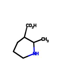 CC1NCCCC1C(=O)O